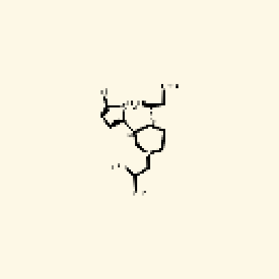 C=C(CC=O)[C@@H]1CCN(CC(CCC)CCCC)C[C@H]1c1ccc(Cl)s1